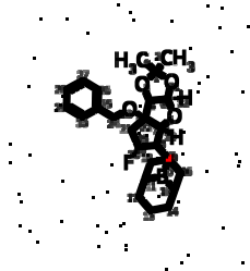 CC1(C)OC2[C@H](O[C@@H]3C(CB4C5CCCC4CCC5)[C@H](F)C[C@]23OCc2ccccc2)O1